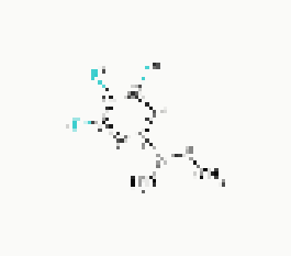 BC(CC)c1cc(F)c(F)c(F)c1